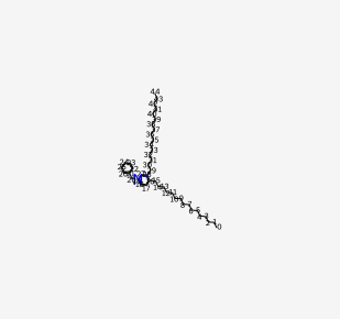 CCCCCCCCCCCCCCCCc1cc[n+](Cc2ccccc2)cc1CCCCCCCCCCCCCCCC